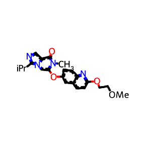 COCCOc1ccc2cc(Oc3cn4c(C(C)C)ncc4c(=O)n3C)ccc2n1